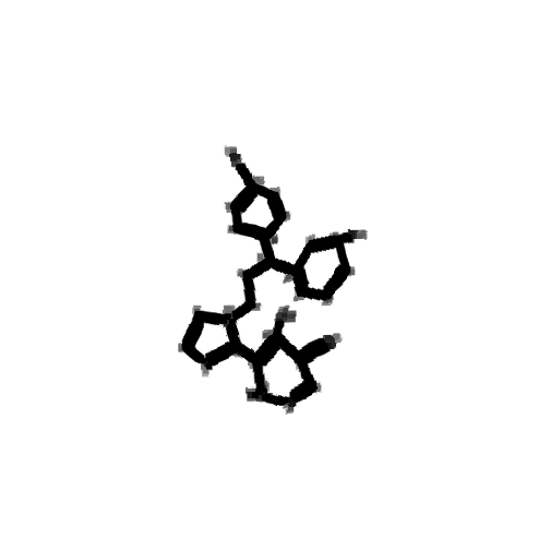 O=c1cn[nH]c(-c2nccn2CCC(c2ccc(F)cc2)c2cccc(F)c2)c1O